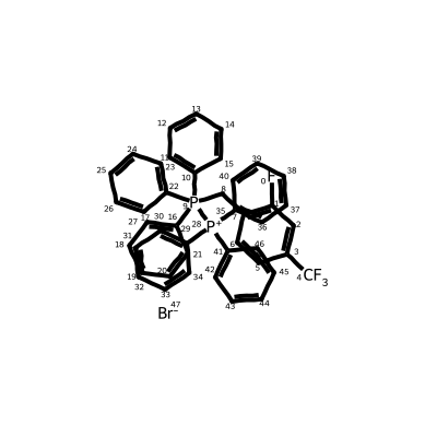 Fc1cc(C(F)(F)F)ccc1CP(c1ccccc1)(c1ccccc1)(c1ccccc1)[P+](c1ccccc1)(c1ccccc1)c1ccccc1.[Br-]